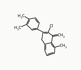 C=C1C(Cl)=C(c2ccc(C)c(C)c2)Cc2cccc(C)c21